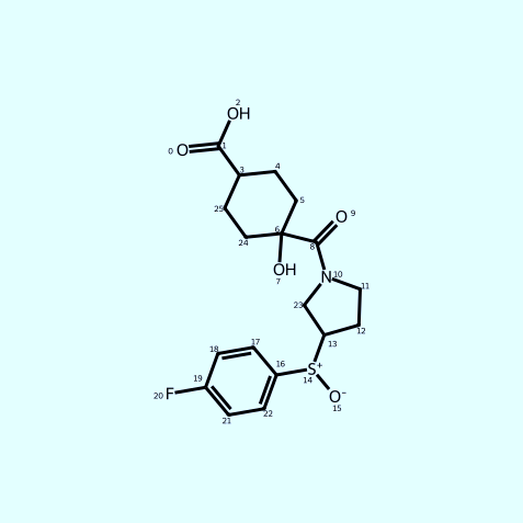 O=C(O)C1CCC(O)(C(=O)N2CCC([S+]([O-])c3ccc(F)cc3)C2)CC1